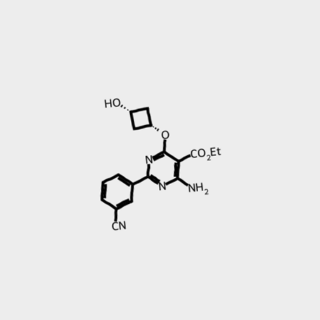 CCOC(=O)c1c(N)nc(-c2cccc(C#N)c2)nc1O[C@H]1C[C@@H](O)C1